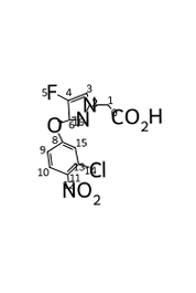 O=C(O)Cn1cc(F)c(Oc2ccc([N+](=O)[O-])c(Cl)c2)n1